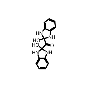 O=C(C1(O)Nc2ccccc2N1)C1(O)Nc2ccccc2N1